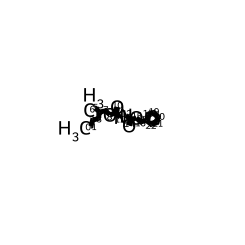 CCCCC(CC)COC(=O)/N=N/C(=O)OCc1ccccc1